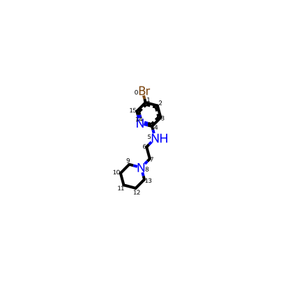 Brc1ccc(NCCN2CCCCC2)nc1